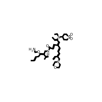 C=C\C(=C/C=C/C(=C/C(=C/C)N(CC)C1CCS(=O)(=O)CC1)/C=C/C(=O)NC/C(C(=C)C)=C(/C/C=C/C)OCN)CN1CCOCC1